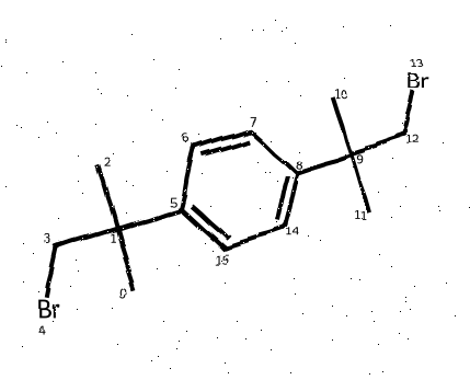 CC(C)(CBr)c1ccc(C(C)(C)CBr)cc1